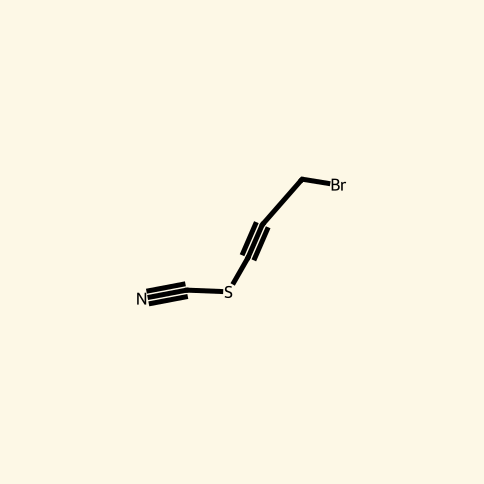 N#CSC#CCBr